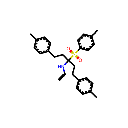 C=CNC(CCc1ccc(C)cc1)(CCc1ccc(C)cc1)S(=O)(=O)c1ccc(C)cc1